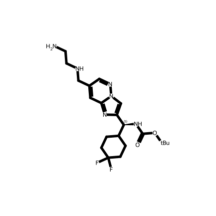 CC(C)(C)OC(=O)N[C@H](c1cn2ncc(CNCCN)cc2n1)C1CCC(F)(F)CC1